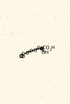 O=C(O)N1C[C@H](OCCOCCOCCOCCOC2CCCCO2)C[C@H]1CO